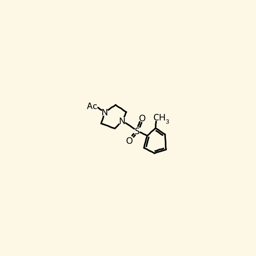 CC(=O)N1CCN(S(=O)(=O)c2ccccc2C)CC1